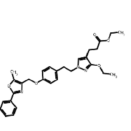 CCOC(=O)CCc1cn(CCc2ccc(OCc3nc(-c4ccccc4)oc3C)cc2)nc1OCC